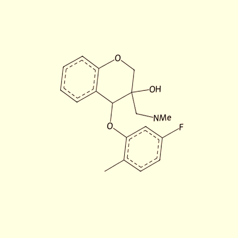 CNCC1(O)COc2ccccc2C1Oc1cc(F)ccc1C